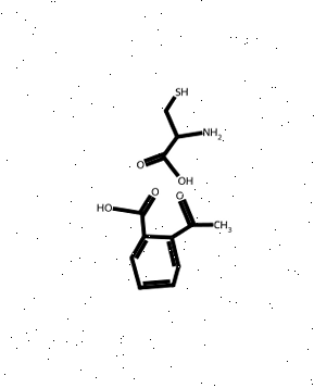 CC(=O)c1ccccc1C(=O)O.NC(CS)C(=O)O